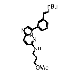 CCCC/C=C/c1cccc(-c2cnc3ccc(NCCCOC)nn23)c1